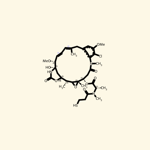 COc1cc2cc(c1Cl)N(C)C(=O)C[C@H](OC(=O)[C@H](C)N(C)C(=O)CCS)[C@]1(C)OC1[C@H](C)[C@H]1C[C@@](O)(NC(=O)O1)[C@H](OC)/C=C/C=C(\C)C2